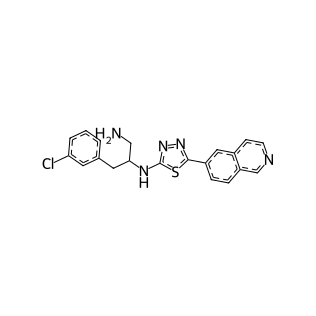 NCC(Cc1cccc(Cl)c1)Nc1nnc(-c2ccc3cnccc3c2)s1